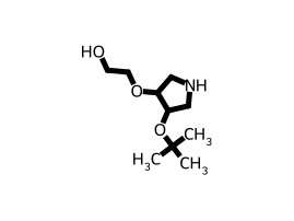 CC(C)(C)OC1CNCC1OCCO